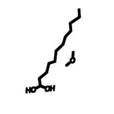 CCCCCCCCCCCC(O)O.COC